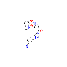 N#CC1=CC=CC(CN2CCN(C(=O)c3ccc(NS(=O)(=O)c4cccc5cccnc45)cc3)CC2)C1